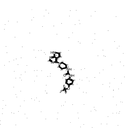 O=C(Nc1ccc(OC(F)(F)F)cc1)NC1CCN(c2ncnc3[nH]ccc23)CC1